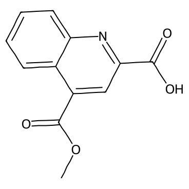 COC(=O)c1cc(C(=O)O)nc2ccccc12